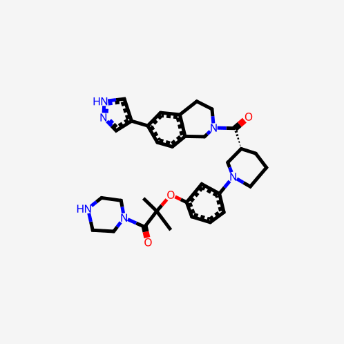 CC(C)(Oc1cccc(N2CCC[C@@H](C(=O)N3CCc4cc(-c5cn[nH]c5)ccc4C3)C2)c1)C(=O)N1CCNCC1